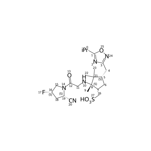 CC(C)c1nc(C[C@@H]2CC[C@](C)(NCC(=O)N3C[C@@H](F)C[C@H]3C#N)C2(C)C)no1.CS(=O)(=O)O